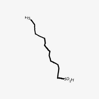 O=S(=O)(O)CCCCCCCCS